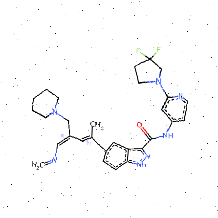 C=N/C=C(\C=C(/C)c1ccc2[nH]nc(C(=O)Nc3ccnc(N4CCC(F)(F)C4)c3)c2c1)CN1CCCCC1